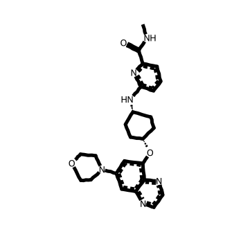 CNC(=O)c1cccc(N[C@H]2CC[C@@H](Oc3cc(N4CCOCC4)cc4nccnc34)CC2)n1